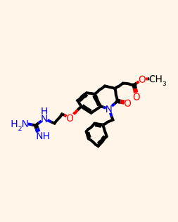 COC(=O)CC1Cc2ccc(OCCNC(=N)N)cc2N(Cc2ccccc2)C1=O